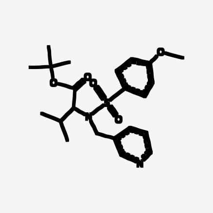 COc1ccc(S(=O)(=O)N(Cc2cccnc2)C(C(=O)OC(C)(C)C)C(C)C)cc1